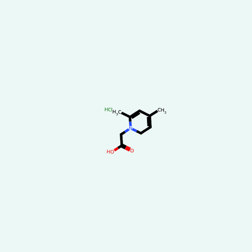 CC1=CCN(CC(=O)O)C(C)=C1.Cl